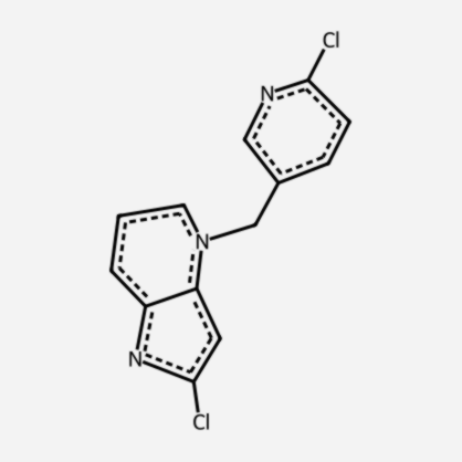 Clc1ccc(Cn2cccc3nc(Cl)cc2-3)cn1